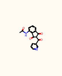 CC(=O)Nc1cccc2c1C(=O)C(C(=O)c1cccnc1)C2=O